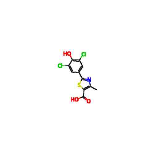 Cc1nc(-c2cc(Cl)c(O)c(Cl)c2)sc1C(=O)O